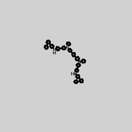 c1ccc(-c2ccccc2-c2ccc(Nc3ccc(-c4ccc(N(c5ccccc5)c5ccc(-c6ccc(-c7ccc(N(c8ccccc8)c8ccc(-c9ccc(Nc%10ccc(-c%11ccccc%11-c%11ccccc%11)cc%10)cc9)cc8)cc7)cc6)cc5)cc4)cc3)cc2)cc1